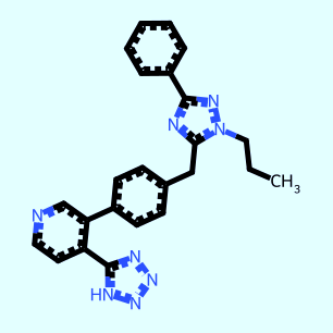 CCCn1nc(-c2ccccc2)nc1Cc1ccc(-c2cnccc2-c2nnn[nH]2)cc1